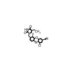 CCc1cn(Cc2ccc(Br)c(Oc3cc(Cl)cc(C#N)c3)c2F)c(=O)[nH]c1=O